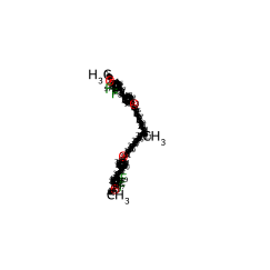 CCOc1ccc(CCc2ccc(OCCCCCCCCC(C)CCCCCCCCOc3ccc(CCc4ccc(OCC)c(F)c4F)cc3)cc2)c(F)c1F